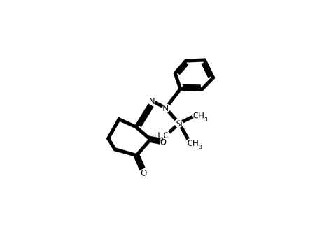 C[Si](C)(C)N(/N=C1/CCCC(=O)C1=O)c1ccccc1